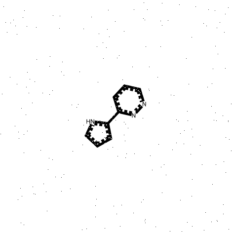 c1cnnc(-c2ccc[nH]2)c1